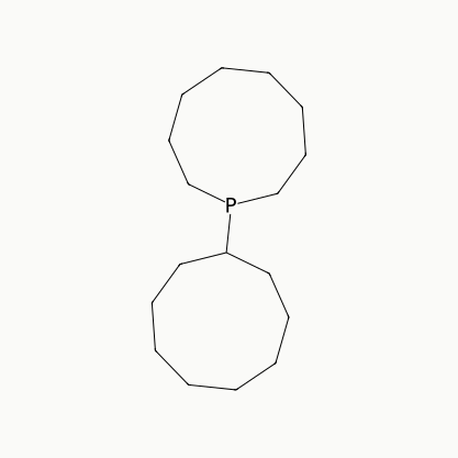 C1CCCCC(P2CCCCCCCC2)CCC1